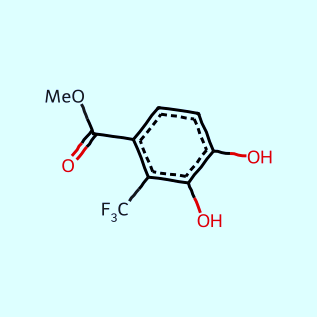 COC(=O)c1ccc(O)c(O)c1C(F)(F)F